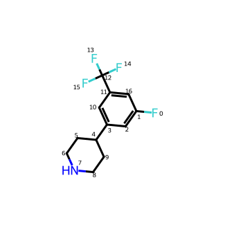 Fc1cc(C2CCNCC2)cc(C(F)(F)F)c1